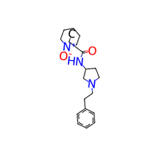 O=C(NC1CCN(CCc2ccccc2)C1)C1CC2CC[N+]1([O-])CC2